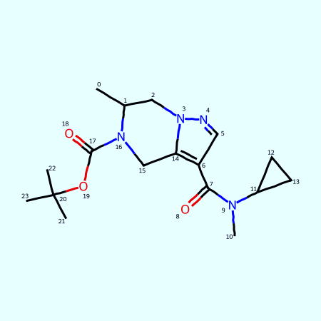 CC1Cn2ncc(C(=O)N(C)C3CC3)c2CN1C(=O)OC(C)(C)C